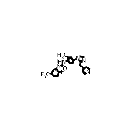 Cc1cc(-n2ccnc2Cc2ccncc2)ccc1NC(=O)Nc1cc(C(F)(F)F)ccc1F